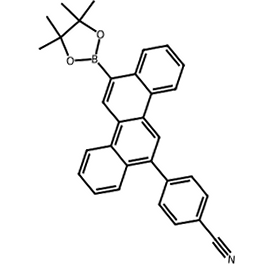 CC1(C)OB(c2cc3c4ccccc4c(-c4ccc(C#N)cc4)cc3c3ccccc23)OC1(C)C